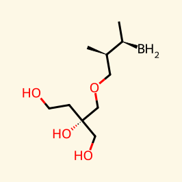 B[C@H](C)[C@H](C)COC[C@@](O)(CO)CCO